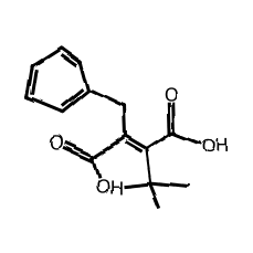 CC(C)(C)/C(C(=O)O)=C(/Cc1ccccc1)C(=O)O